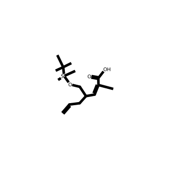 C=CCC(C=C(C)C(=O)O)CO[Si](C)(C)C(C)(C)C